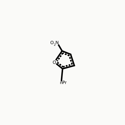 CCCc1ccc([N+](=O)[O-])o1